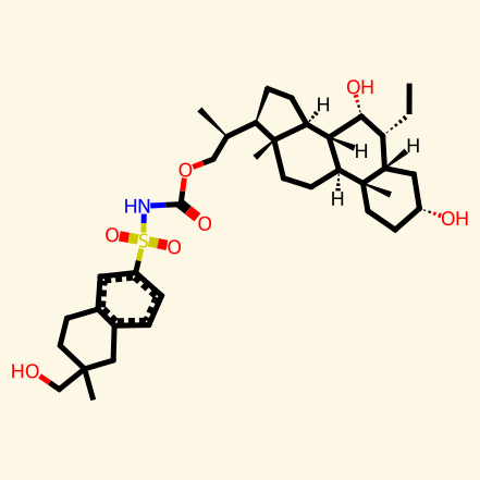 CC[C@H]1[C@@H](O)[C@@H]2[C@H](CC[C@]3(C)[C@@H]([C@H](C)COC(=O)NS(=O)(=O)c4ccc5c(c4)CCC(C)(CO)C5)CC[C@@H]23)[C@@]2(C)CC[C@@H](O)C[C@@H]12